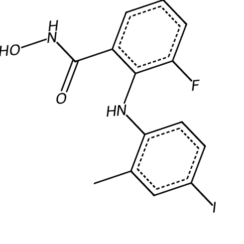 Cc1cc(I)ccc1Nc1c(F)cccc1C(=O)NO